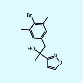 Cc1cc(CC(C)(O)c2ccon2)cc(C)c1Br